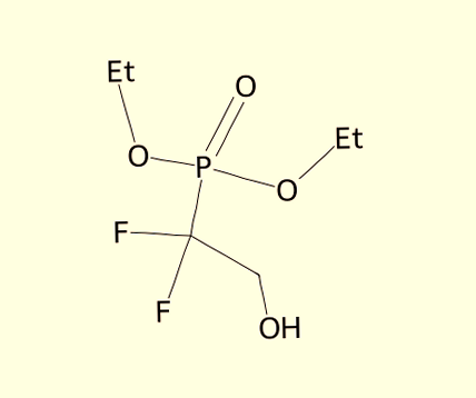 CCOP(=O)(OCC)C(F)(F)CO